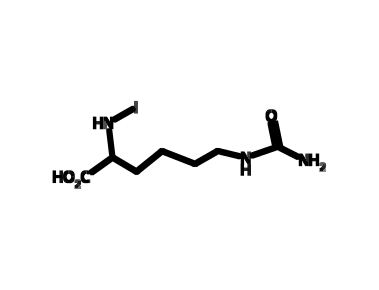 NC(=O)NCCCCC(NI)C(=O)O